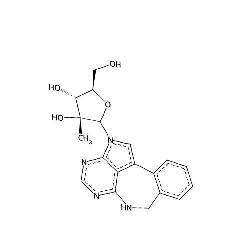 C[C@]1(O)C(n2cc3c4c(ncnc42)NCc2ccccc2-3)O[C@H](CO)[C@H]1O